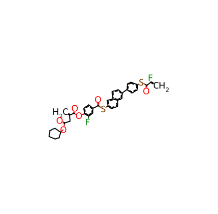 C=C(F)C(=O)Sc1ccc(-c2ccc3cc(SC(=O)c4ccc(OC(=O)C(=C)CC(=O)OC5CCCCC5)c(F)c4)ccc3c2)cc1